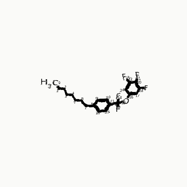 CCCCCCCCc1ccc(C(F)(F)Oc2cc(F)c(F)c(F)c2)cc1